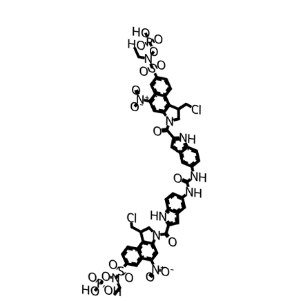 CCN(OP(=O)(O)O)S(=O)(=O)c1ccc2c3c(cc([N+](=O)[O-])c2c1)N(C(=O)c1cc2cc(NC(=O)Nc4ccc5[nH]c(C(=O)N6CC(CCl)c7c6cc([N+](=O)[O-])c6cc(S(=O)(=O)N(CC)OP(=O)(O)O)ccc76)cc5c4)ccc2[nH]1)CC3CCl